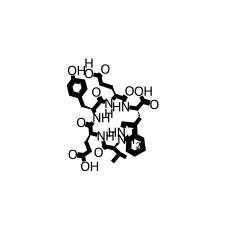 CC(C)[C@H](N)C(=O)N[C@@H](CCC(=O)O)C(=O)N[C@@H](Cc1ccc(O)cc1)C(=O)N[C@@H](CCC(=O)O)C(=O)N[C@@H](Cc1c[nH]c2ccccc12)C(=O)O